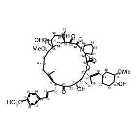 CO[C@H]1C[C@@H](C)C/C(C)=C/[C@@H](C/C=C/c2ccc(C(=O)O)cc2)C(=O)C[C@H](O)[C@@H](C)[C@@H](/C(C)=C/[C@@H]2CC[C@@H](O)[C@H](OC)C2)OC(=O)[C@@H]2CCCCN2C(=O)C(=O)[C@]2(O)O[C@H]1[C@@H](C=O)C[C@H]2C